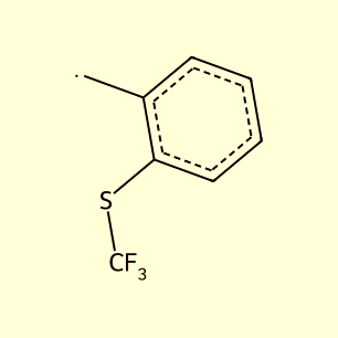 [CH2]c1ccccc1SC(F)(F)F